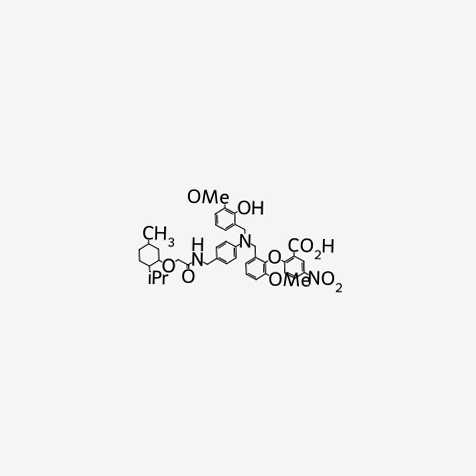 COc1cccc(CN(Cc2cccc(OC)c2Oc2ccc([N+](=O)[O-])cc2C(=O)O)c2ccc(CNC(=O)COC3CC(C)CCC3C(C)C)cc2)c1O